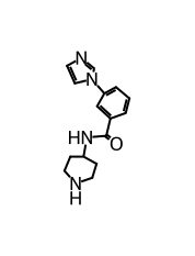 O=C(NC1CCNCC1)c1cccc(-n2ccnc2)c1